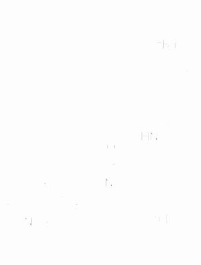 C=C1c2c(Cl)ccc(NSc3ccc(C(C)(C)C)cc3)c2C(=O)N1C(C)Cc1cccnc1